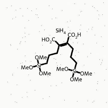 CO[Si](CCC/C(C(=O)O)=C(\CCC[Si](OC)(OC)OC)C(=O)O)(OC)OC.[SiH4]